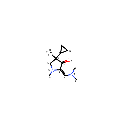 CN(C)/C=C1\C(=O)C(C2CC2)(C(F)(F)F)CN1C